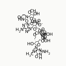 COCC[C@H]1[C@@H](O)[C@H](n2c[n+](C)c3c(=O)[nH]c(N)nc32)O[C@@H]1COP(=O)(O)OP(=O)(O)OP(=O)(O)OCC1O[C@@H](n2cnc3c(N)ncnc32)[C@H](OC)[C@@H]1P(=O)([O-])OC[C@H]1O[C@@H](n2ccc(=O)[nH]c2=O)[C@H](OC)[C@@H]1O